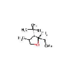 CCC(C)(C)[C@H]1C(C)COC1(C)COC